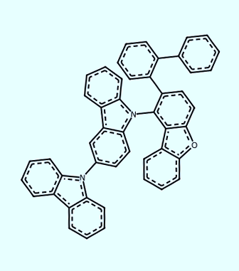 c1ccc(-c2ccccc2-c2ccc3oc4ccccc4c3c2-n2c3ccccc3c3cc(-n4c5ccccc5c5ccccc54)ccc32)cc1